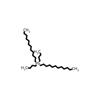 CCCCCCCCCCC[CH2][Pb]([CH2]CCC)([CH2]CCC)[CH2]CCCCCCCCCCC